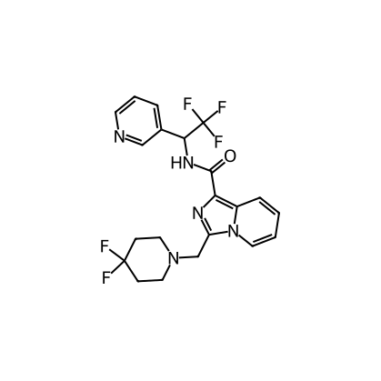 O=C(NC(c1cccnc1)C(F)(F)F)c1nc(CN2CCC(F)(F)CC2)n2ccccc12